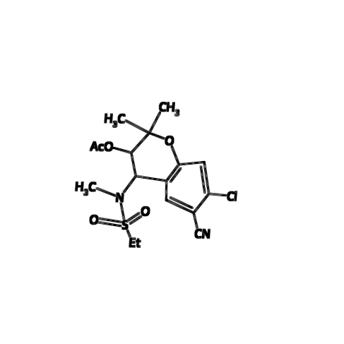 CCS(=O)(=O)N(C)C1c2cc(C#N)c(Cl)cc2OC(C)(C)C1OC(C)=O